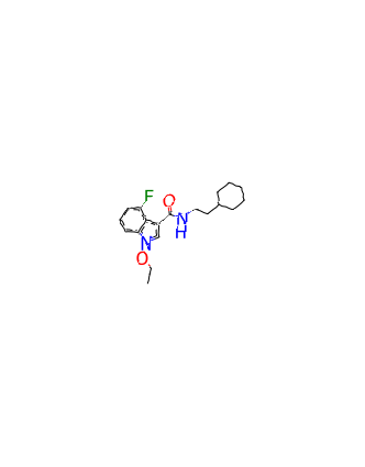 CCOn1cc(C(=O)NCCC2CCCCC2)c2c(F)cccc21